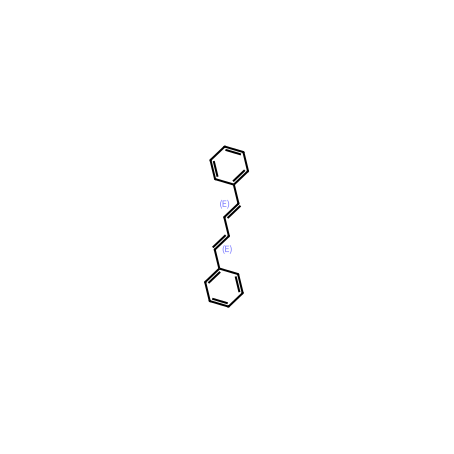 C(/C=C/c1ccccc1)=C\c1ccccc1